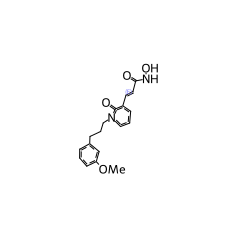 COc1cccc(CCCn2cccc(/C=C/C(=O)NO)c2=O)c1